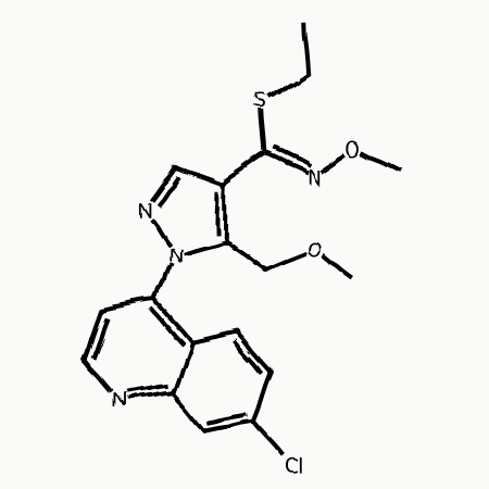 CCSC(=NOC)c1cnn(-c2ccnc3cc(Cl)ccc23)c1COC